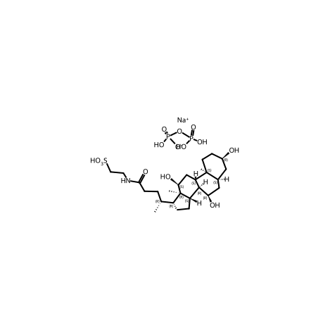 C[C@H](CCC(=O)NCCS(=O)(=O)O)[C@H]1CC[C@H]2[C@@H]3[C@H](O)C[C@@H]4C[C@H](O)CC[C@]4(C)[C@H]3C[C@H](O)[C@]12C.O=P([O-])(O)OP(=O)(O)O.[Na+]